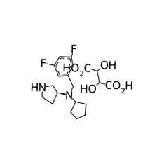 Fc1cc(F)cc(CN(C2CCCC2)[C@H]2CCNC2)c1.O=C(O)C(O)C(O)C(=O)O